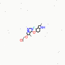 Cc1cc2c(F)c(Oc3ncnn4cc(OCC5CO5)c(C)c34)ccc2[nH]1